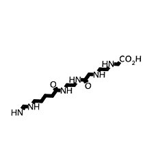 N=CNCCCCC(=O)NCCNC(=O)CNCCNCC(=O)O